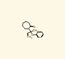 [CH2]C(C=C)(Oc1ccccc1)N1CCCCCC1=O